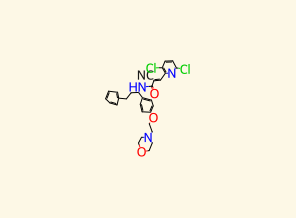 N#C/C(=C\c1nc(Cl)ccc1Cl)C(=O)NC(CCc1ccccc1)c1ccc(OCCN2CCOCC2)cc1